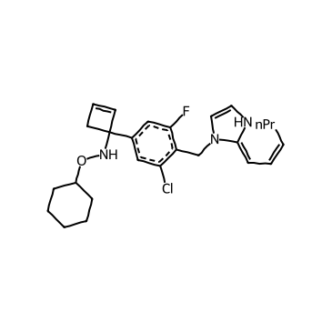 CCC/C=C\C=C1/NC=CN1Cc1c(F)cc(C2(NOC3CCCCC3)C=CC2)cc1Cl